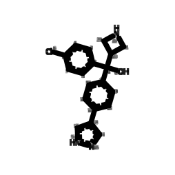 OC(c1ccc(Cl)cc1)(c1ccc(-c2cn[nH]c2)cc1)C1CNC1